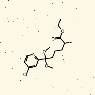 CCOC(=O)C(C)CCCC(OC)(OC)c1cc(Cl)ccn1